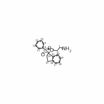 NCCOC1(S(=O)(=O)c2ccccc2)CCc2ccccc21